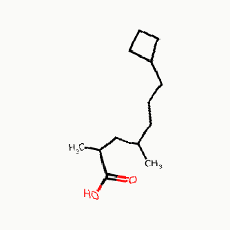 CC(CCCC1CCC1)CC(C)C(=O)O